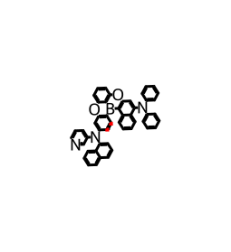 c1ccc(N(c2ccccc2)c2cc3c(c4ccccc24)B2c4c(cccc4Oc4cc(N(c5cccnc5)c5cccc6ccccc56)c5ccccc5c42)O3)cc1